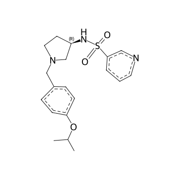 CC(C)Oc1ccc(CN2CC[C@@H](NS(=O)(=O)c3cccnc3)C2)cc1